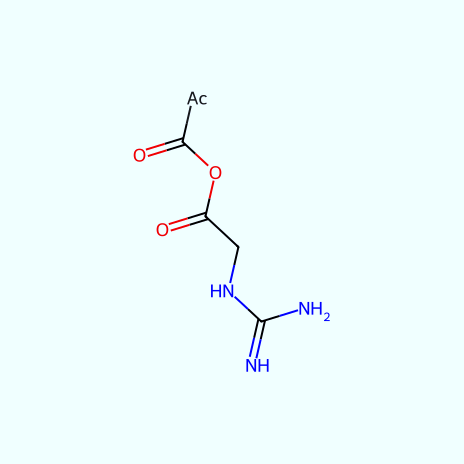 CC(=O)C(=O)OC(=O)CNC(=N)N